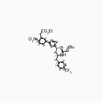 CCOC(=O)Cc1cc(-c2nnc(CCC(Cc3ccc(C(F)(F)F)nc3)NC(=O)OC(C)(C)C)s2)ccc1[N+](=O)[O-]